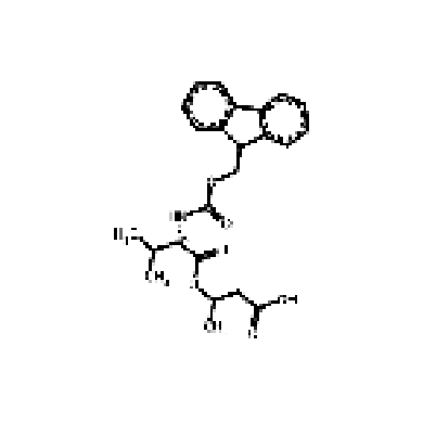 CC(CC(=O)O)OC(=O)[C@@H](NC(=O)OCC1c2ccccc2-c2ccccc21)C(C)C